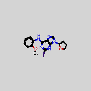 CCOc1ccccc1Nc1nc(I)nc2c1ncn2C1CCCO1